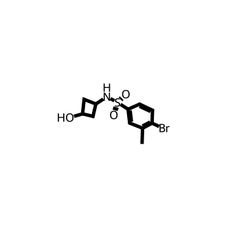 Cc1cc(S(=O)(=O)NC2CC(O)C2)ccc1Br